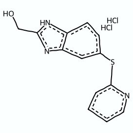 Cl.Cl.OCc1nc2cc(Sc3ccccn3)ccc2[nH]1